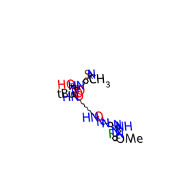 COc1cccc(F)c1-c1ncc2[nH]nc(-c3ccc(N4CCN(CC(=O)NCCCCCCCCCCC(=O)N[C@H](C(=O)N5C[C@H](O)C[C@H]5C(=O)NCc5ccc(-c6scnc6C)cc5)C(C)(C)C)CC4)cc3)c2n1